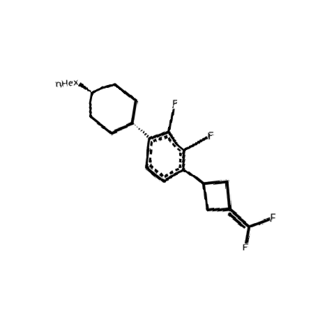 CCCCCC[C@H]1CC[C@H](c2ccc(C3CC(=C(F)F)C3)c(F)c2F)CC1